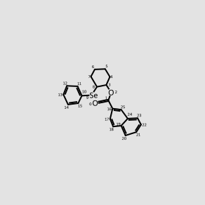 O=C(OC1CCCCC1[Se]c1ccccc1)c1ccc2ccccc2c1